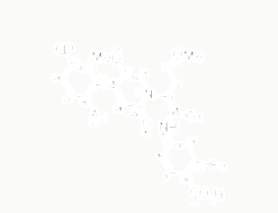 COCCC(C(=O)Nc1ccc(C(=O)O)c(F)c1)n1cc(OC)c(-c2cc(Cl)ccc2C(C)=O)cc1=O